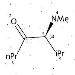 CCCC(=O)[C@@H](NC)C(C)C